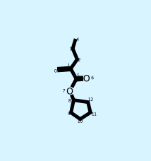 C=C(CCC)C(=O)OC1CCCC1